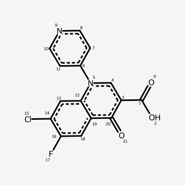 O=C(O)c1cn(-c2ccncc2)c2cc(Cl)c(F)cc2c1=O